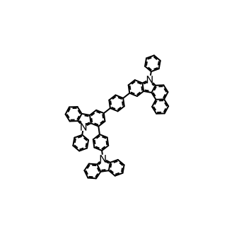 c1ccc(-n2c3ccc(-c4ccc(-c5cc(-c6ccc(-n7c8ccccc8c8ccccc87)cc6)c6c(c5)c5ccccc5n6-c5ccccc5)cc4)cc3c3c4ccccc4ccc32)cc1